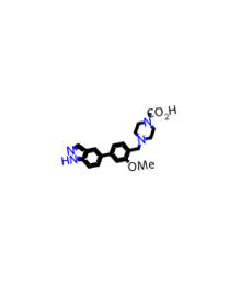 COc1cc(-c2ccc3[nH]ncc3c2)ccc1CN1CCN(C(=O)O)CC1